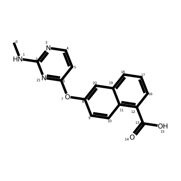 CNc1nccc(Oc2ccc3c(C(=O)O)cccc3c2)n1